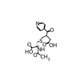 CC(=O)N[C@@H](CSCC(CC(=O)O)C(=O)c1ccncc1)C(=O)O